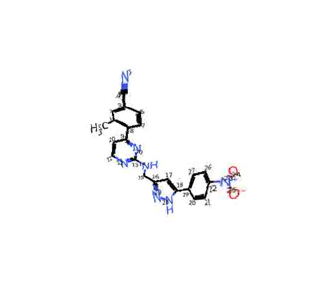 Cc1cc(C#N)ccc1-c1ccnc(NCc2cc(-c3ccc([N+](=O)[O-])cc3)[nH]n2)n1